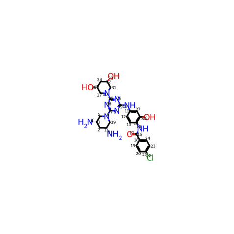 N[C@@H]1C[C@H](N)CN(c2nc(Nc3ccc(NC(=O)c4ccc(Cl)cc4)c(O)c3)nc(N3C[C@H](O)C[C@@H](O)C3)n2)C1